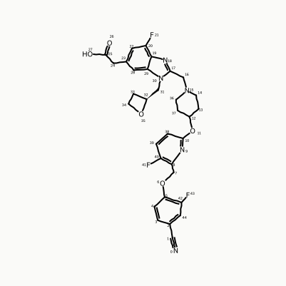 N#Cc1ccc(OCc2nc(OC3CCN(Cc4nc5c(F)cc(CC(=O)O)cc5n4C[C@@H]4CCO4)CC3)ccc2F)c(F)c1